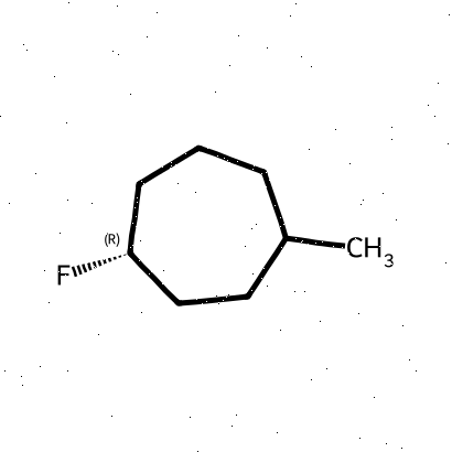 CC1CCC[C@@H](F)CC1